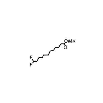 COC(=O)CCCCCCCCCC=C(F)F